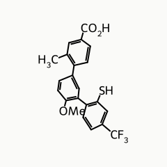 COc1ccc(-c2ccc(C(=O)O)cc2C)cc1-c1ccc(C(F)(F)F)cc1S